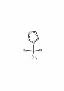 CCCCC(C)(CC)n1cccc1